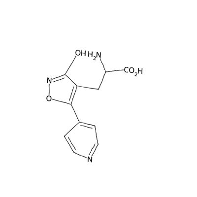 NC(Cc1c(O)noc1-c1ccncc1)C(=O)O